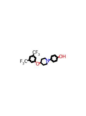 Oc1ccc(N2CCC(Oc3cc(C(F)(F)F)cc(C(F)(F)F)c3)CC2)cc1